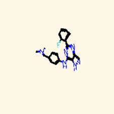 CN(C)Cc1ccc(Nc2nc(-c3ccccc3F)nc3cn[nH]c23)cc1